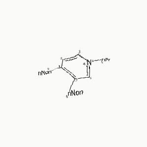 CCCCCCCCCc1cc[n+](CCC)cc1CCCCCCCCC